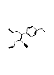 C#CC(CC=C)=C(CC=C)c1ccc(CC)cc1